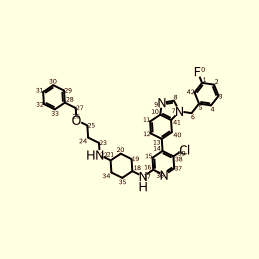 Fc1cccc(Cn2cnc3ccc(-c4cc(NC5CCC(NCCCOCc6ccccc6)CC5)ncc4Cl)cc32)c1